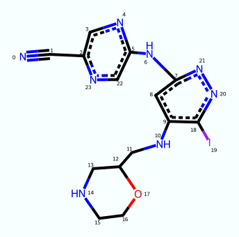 N#Cc1cnc(Nc2cc(NCC3CNCCO3)c(I)nn2)cn1